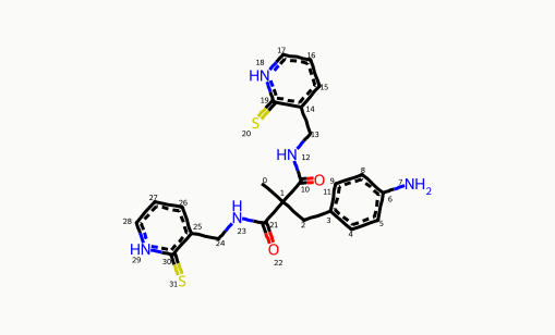 CC(Cc1ccc(N)cc1)(C(=O)NCc1ccc[nH]c1=S)C(=O)NCc1ccc[nH]c1=S